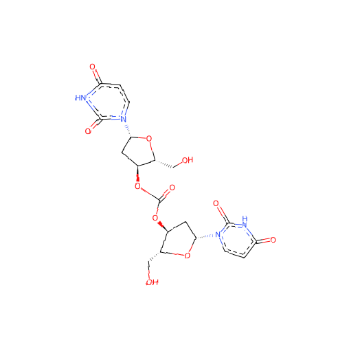 O=C(O[C@H]1C[C@H](n2ccc(=O)[nH]c2=O)O[C@@H]1CO)O[C@H]1C[C@H](n2ccc(=O)[nH]c2=O)O[C@@H]1CO